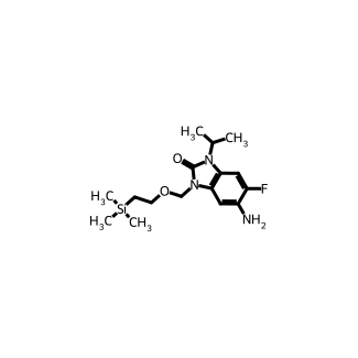 CC(C)n1c(=O)n(COCC[Si](C)(C)C)c2cc(N)c(F)cc21